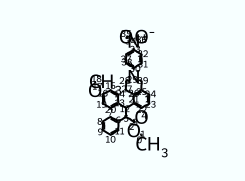 CCOC(=O)C(c1ccccc1)C(c1ccc(OC)cc1)c1cccc2c1CCN(c1ccc([N+](=O)[O-])cc1)C2